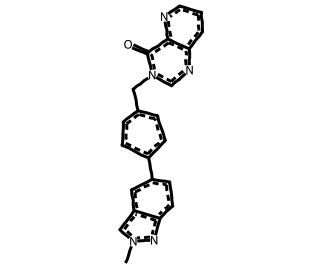 Cn1cc2cc(-c3ccc(Cn4cnc5cccnc5c4=O)cc3)ccc2n1